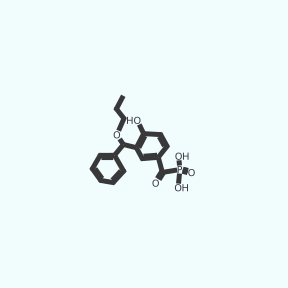 CCCOC(c1ccccc1)c1cc(C(=O)P(=O)(O)O)ccc1O